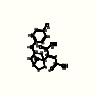 CN1C2CCC1(/C(=C\C(=O)O)C(=O)O)CC(Oc1ccc(Cl)cn1)C2